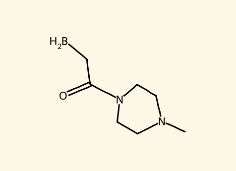 BCC(=O)N1CCN(C)CC1